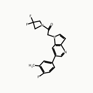 Cc1cc(-c2cnc3ccn(CC(=O)N4CC(F)(F)C4)c3c2)ccc1F